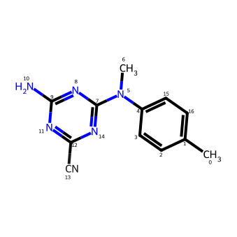 Cc1ccc(N(C)c2nc(N)nc(C#N)n2)cc1